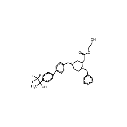 CC(O)(c1ccc(-c2ccc(CN3CCN(Cc4ccncc4)C(CC(=O)OCCO)C3)cc2)cc1)C(F)(F)F